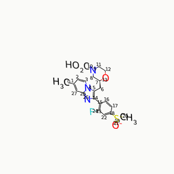 Cc1ccn2c(C[C@H]3CN(C(=O)O)CCO3)c(-c3ccc([S+](C)[O-])cc3F)nc2c1